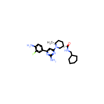 C[C@@H]1CC[C@H](C(=O)NCC2CCCCC2)CN1c1cc(-c2ccc(N)c(F)c2)nc(N)n1